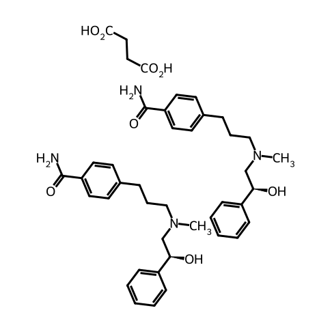 CN(CCCc1ccc(C(N)=O)cc1)C[C@@H](O)c1ccccc1.CN(CCCc1ccc(C(N)=O)cc1)C[C@@H](O)c1ccccc1.O=C(O)CCC(=O)O